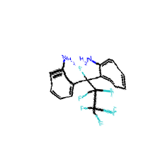 Nc1ccccc1C(F)(c1ccccc1N)C(F)(F)C(F)(F)F